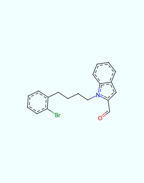 O=Cc1cc2ccccc2n1CCCCc1ccccc1Br